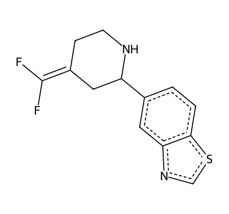 FC(F)=C1CCNC(c2ccc3scnc3c2)C1